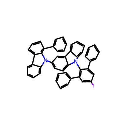 Ic1cc(-c2ccccc2)c(-n2c3ccccc3c3cc(-n4c5ccccc5c5cccc(-c6ccccc6)c54)ccc32)c(-c2ccccc2)c1